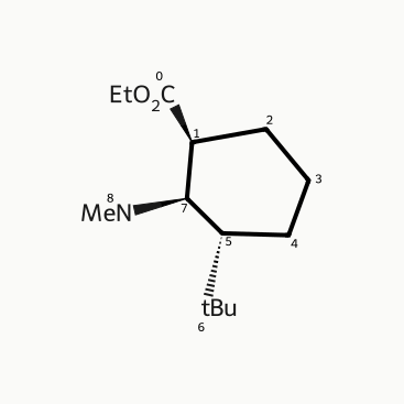 CCOC(=O)[C@H]1CCC[C@H](C(C)(C)C)[C@H]1NC